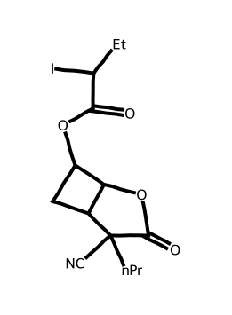 CCCC1(C#N)C(=O)OC2C(OC(=O)C(I)CC)CC21